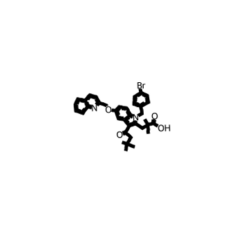 CC(C)(C)CC(=O)c1c(CC(C)(C)C(=O)O)n(Cc2ccc(Br)cc2)c2ccc(OCc3ccc4ccccc4n3)cc12